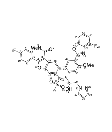 CNC(=O)c1c(-c2ccc(F)cc2)oc2cc(N(CC(O)Cn3cccn3)S(C)(=O)=O)c(-c3ccc(OC)c(-c4nc5c(F)cccc5o4)c3)cc12